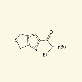 CCCCC(CC)C(=O)c1cc2c(s1)CSC2